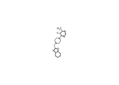 Cc1ncnc(N2CCN(Cc3nc4ccccc4o3)CC2)c1I